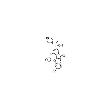 CCC(O)(CN1CCNCC1)c1cc(F)c2c(c1)C(=O)N(Cc1ncc(Cl)cn1)C2O[C@H]1CCOC1